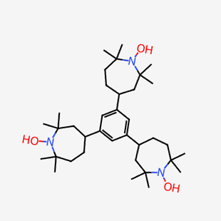 CC1(C)CCC(c2cc(C3CCC(C)(C)N(O)C(C)(C)C3)cc(C3CCC(C)(C)N(O)C(C)(C)C3)c2)CC(C)(C)N1O